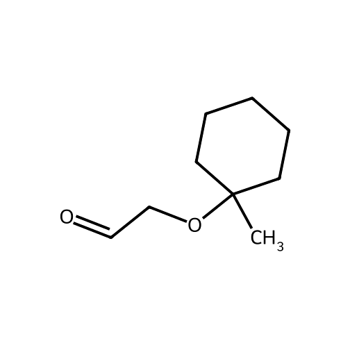 CC1(OCC=O)CCCCC1